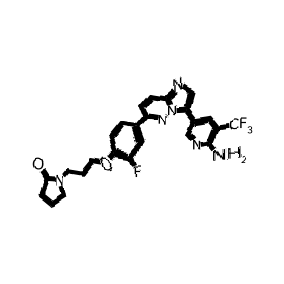 Nc1ncc(-c2cnc3ccc(-c4ccc(OCCCN5CCCC5=O)c(F)c4)nn23)cc1C(F)(F)F